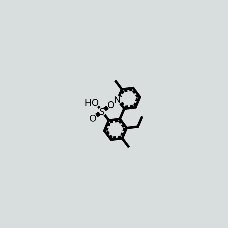 CCc1c(C)ccc(S(=O)(=O)O)c1-c1cccc(C)n1